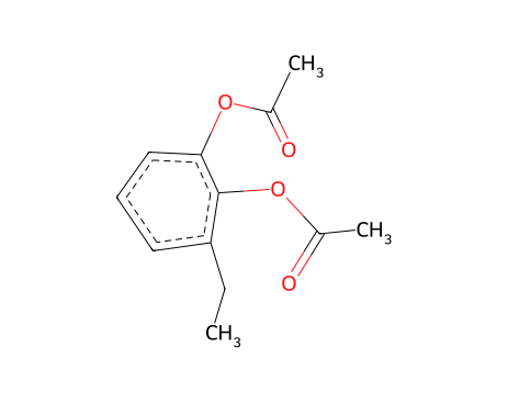 CCc1cccc(OC(C)=O)c1OC(C)=O